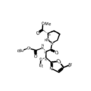 CCO[C@@H](c1ncc(Br)o1)[C@H](NC(=O)OC(C)(C)C)C(=O)N1CCC[C@@H](C(=O)OC)N1